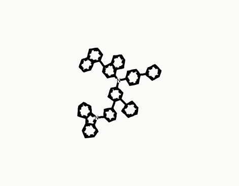 c1ccc(-c2ccc(N(c3ccc(-c4cccc(-n5c6ccccc6c6ccccc65)c4)c(-c4ccccc4)c3)c3ccc(-c4cccc5ccccc45)c4ccccc34)cc2)cc1